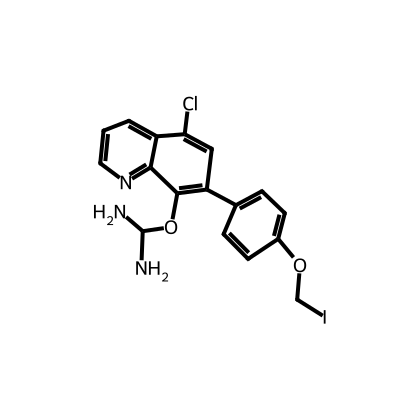 NC(N)Oc1c(-c2ccc(OCI)cc2)cc(Cl)c2cccnc12